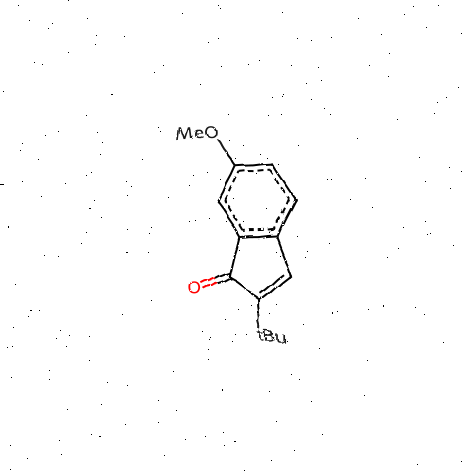 COc1ccc2c(c1)C(=O)C(C(C)(C)C)=C2